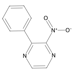 O=[N+]([O-])c1nccnc1-c1ccccc1